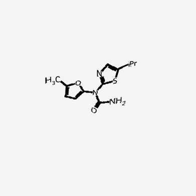 Cc1ccc(N(C(N)=O)c2ncc(C(C)C)s2)o1